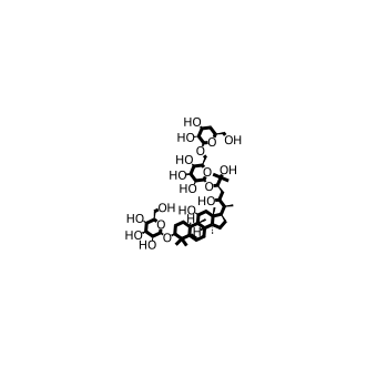 C[C@H](C(O)C[C@@H](O[C@@H]1O[C@H](CO[C@@H]2O[C@H](CO)C[C@H](O)[C@H]2O)[C@@H](O)[C@H](O)[C@H]1O)C(C)(C)O)[C@H]1CC[C@@]2(C)[C@@H]3CC=C4[C@@H](CC[C@H](O[C@@H]5O[C@H](CO)[C@@H](O)[C@H](O)[C@H]5O)C4(C)C)[C@]3(C)[C@H](O)C[C@]12C